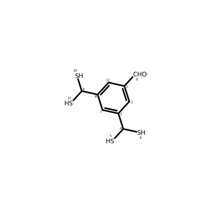 O=[C]c1cc(C(S)S)cc(C(S)S)c1